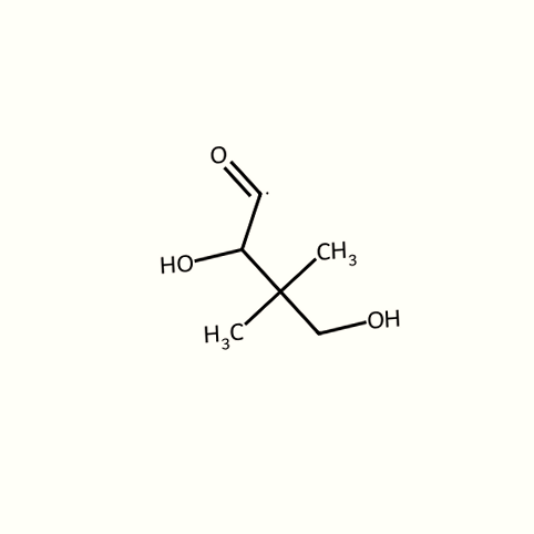 CC(C)(CO)C(O)[C]=O